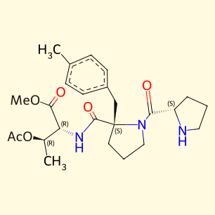 COC(=O)[C@H](NC(=O)[C@@]1(Cc2ccc(C)cc2)CCCN1C(=O)[C@@H]1CCCN1)[C@@H](C)OC(C)=O